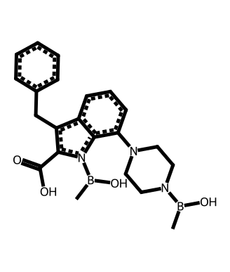 CB(O)N1CCN(c2cccc3c(Cc4ccccc4)c(C(=O)O)n(B(C)O)c23)CC1